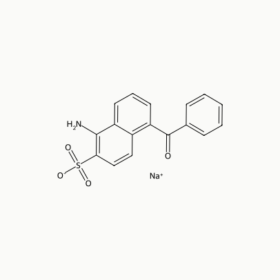 Nc1c(S(=O)(=O)[O-])ccc2c(C(=O)c3ccccc3)cccc12.[Na+]